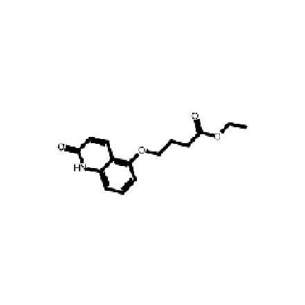 CCOC(=O)CCCOc1cccc2[nH]c(=O)ccc12